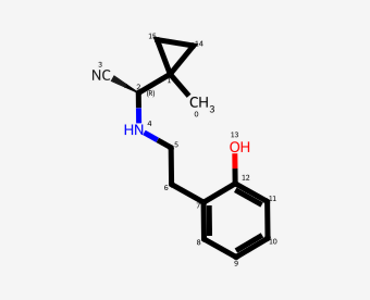 CC1([C@H](C#N)NCCc2ccccc2O)CC1